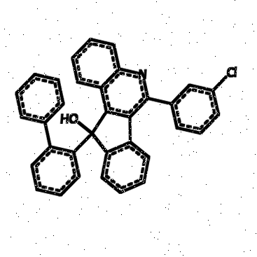 OC1(c2ccccc2-c2ccccc2)c2ccccc2-c2c(-c3cccc(Cl)c3)nc3ccccc3c21